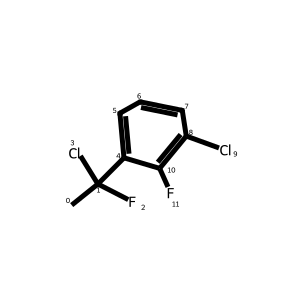 CC(F)(Cl)c1cccc(Cl)c1F